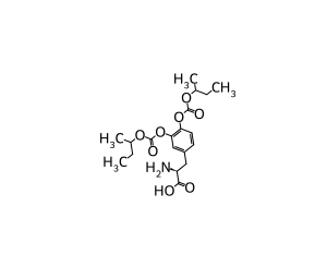 CCC(C)OC(=O)Oc1ccc(C[C@H](N)C(=O)O)cc1OC(=O)OC(C)CC